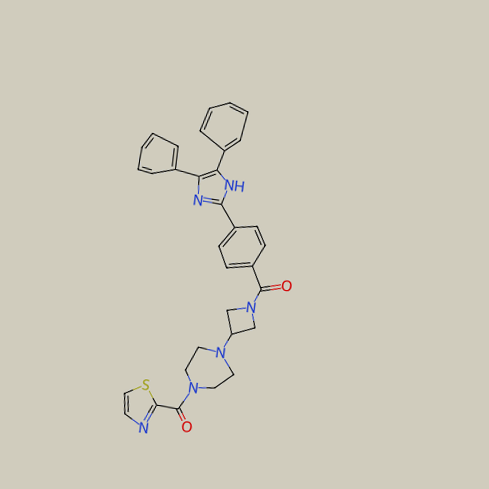 O=C(c1ccc(-c2nc(-c3ccccc3)c(-c3ccccc3)[nH]2)cc1)N1CC(N2CCN(C(=O)c3nccs3)CC2)C1